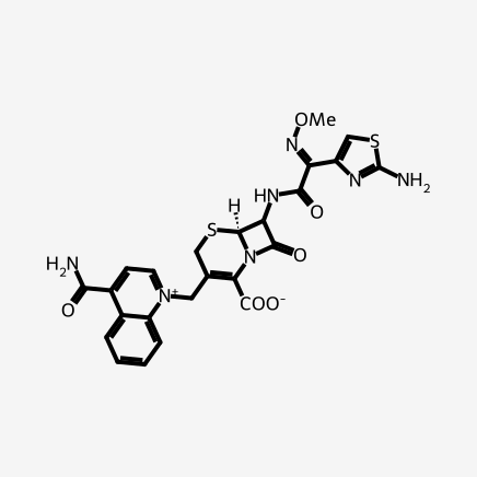 CON=C(C(=O)NC1C(=O)N2C(C(=O)[O-])=C(C[n+]3ccc(C(N)=O)c4ccccc43)CS[C@@H]12)c1csc(N)n1